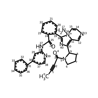 CC#CC(=O)N1CCCC1C1=C2C=NC=C[N+]2(N)C(c2ccccc2C(=O)Nc2cc(-c3ccccc3)ccn2)=N1